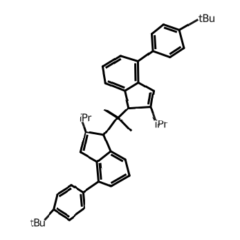 CC(C)C1=Cc2c(-c3ccc(C(C)(C)C)cc3)cccc2C1C(C)(C)C1C(C(C)C)=Cc2c(-c3ccc(C(C)(C)C)cc3)cccc21